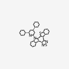 c1ccc(-c2cc(-c3ccccc3)nc(-n3c4ccccc4c4c5nsnc5c5c6ccccc6sc5c43)c2)cc1